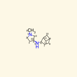 CN1CC[C@H](NC2CCC3CC2C3)C1